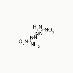 NC(=NN=NN=C(N)[N+](=O)[O-])[N+](=O)[O-]